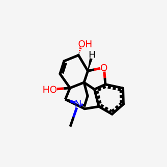 CN1CCC23c4c5cccc4O[C@H]2[C@@H](O)C=CC3(O)C1C5